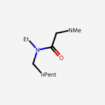 CCCCCCN(CC)C(=O)CNC